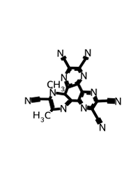 CC1=C(C#N)N(C)C2C(=N1)c1nc(C#N)c(C#N)nc1-c1nc(C#N)c(C#N)nc12